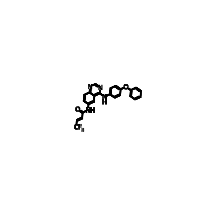 O=C(C=CC(F)(F)F)Nc1ccc2ncnc(Nc3ccc(Oc4ccccc4)cc3)c2c1